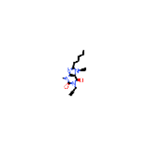 C#CCn1c(=O)c2c(nc(CCCCC)n2C#C)n(C)c1=O